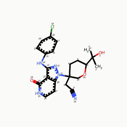 CC(C)(O)C1CCC(CC#N)(n2nc(Nc3ccc(Cl)cc3)c3c(=O)[nH]ccc32)CO1